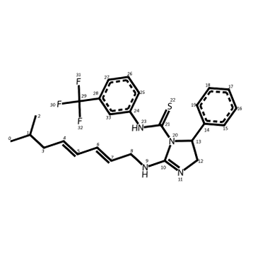 CC(C)CC=CC=CCNC1=NCC(c2ccccc2)N1C(=S)Nc1cccc(C(F)(F)F)c1